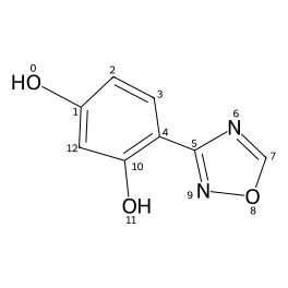 Oc1ccc(-c2ncon2)c(O)c1